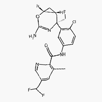 Cc1cc(C(F)F)cnc1C(=O)Nc1ccc(Cl)c([C@@]2(CF)N=C(N)O[C@@H]3C[C@@H]32)c1